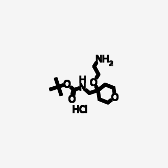 CC(C)(C)OC(=O)NCC1(OCCN)CCOCC1.Cl